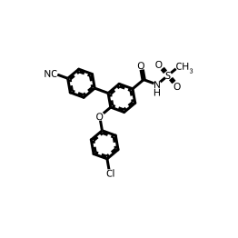 CS(=O)(=O)NC(=O)c1ccc(Oc2ccc(Cl)cc2)c(-c2ccc(C#N)cc2)c1